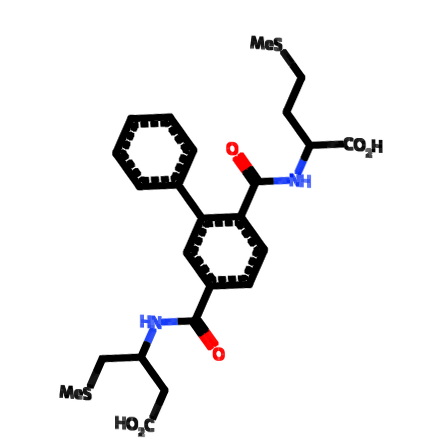 CSCCC(NC(=O)c1ccc(C(=O)NC(CSC)CC(=O)O)cc1-c1ccccc1)C(=O)O